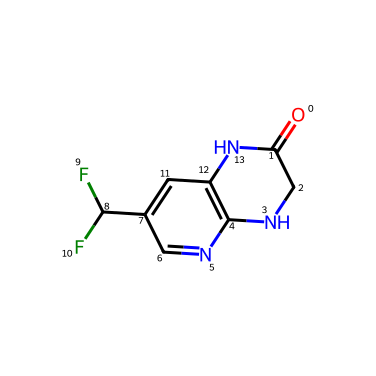 O=C1CNc2ncc(C(F)F)cc2N1